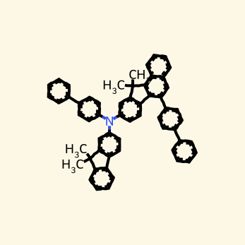 CC1(C)c2ccccc2-c2ccc(N(c3ccc(-c4ccccc4)cc3)c3ccc4c(c3)C(C)(C)c3c-4c(-c4ccc(-c5ccccc5)cc4)cc4ccccc34)cc21